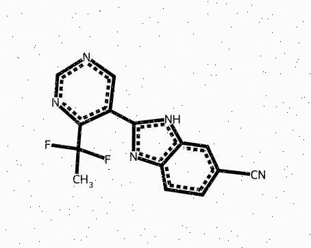 CC(F)(F)c1ncncc1-c1nc2ccc(C#N)cc2[nH]1